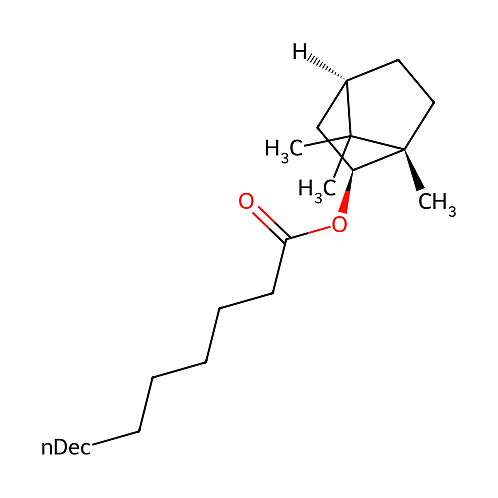 CCCCCCCCCCCCCCCC(=O)O[C@H]1C[C@H]2CC[C@@]1(C)C2(C)C